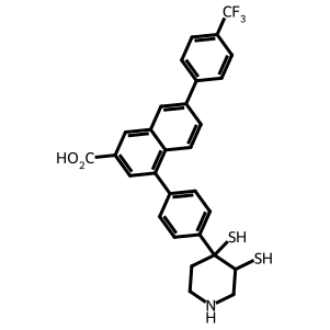 O=C(O)c1cc(-c2ccc(C3(S)CCNCC3S)cc2)c2ccc(-c3ccc(C(F)(F)F)cc3)cc2c1